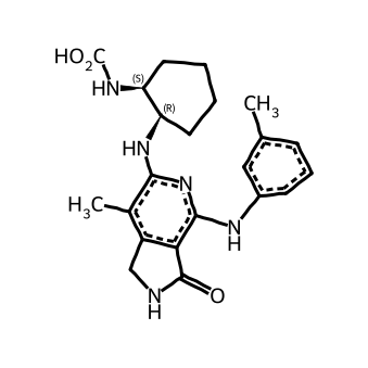 Cc1cccc(Nc2nc(N[C@@H]3CCCC[C@@H]3NC(=O)O)c(C)c3c2C(=O)NC3)c1